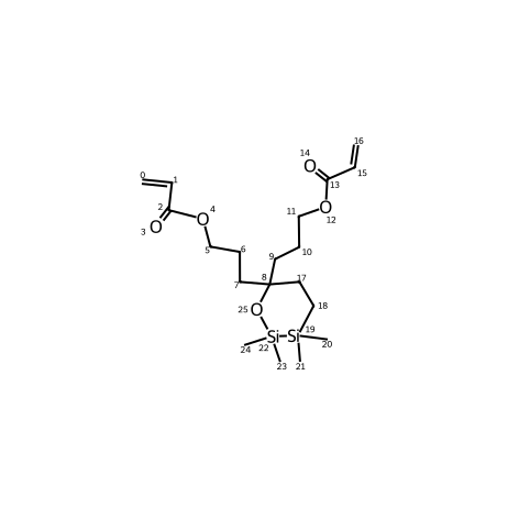 C=CC(=O)OCCCC1(CCCOC(=O)C=C)CC[Si](C)(C)[Si](C)(C)O1